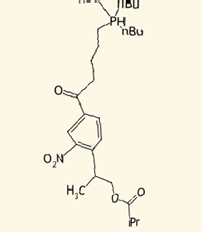 CCCC[PH](CCCC)(CCCC)CCCCC(=O)c1ccc(C(C)COC(=O)C(C)C)c([N+](=O)[O-])c1